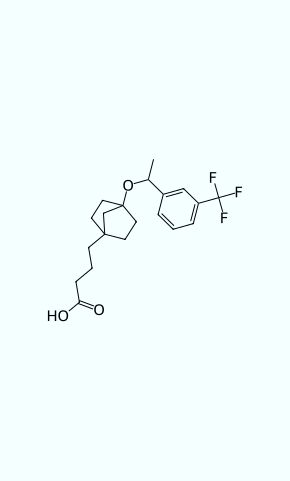 CC(OC12CCC(CCCC(=O)O)(CC1)C2)c1cccc(C(F)(F)F)c1